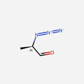 C[C@H](C=O)N=[N+]=[N-]